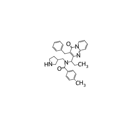 CCC(c1nc2ccccn2c(=O)c1Cc1ccccc1)N(CC1CCNC1)C(=O)c1ccc(C)cc1